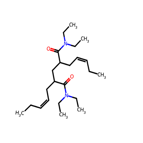 CC/C=C\CC(CC(C/C=C\CC)C(=O)N(CC)CC)C(=O)N(CC)CC